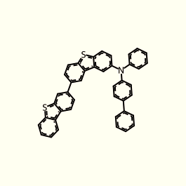 c1ccc(-c2ccc(N(c3ccccc3)c3ccc4sc5ccc(-c6ccc7c(c6)sc6ccccc67)cc5c4c3)cc2)cc1